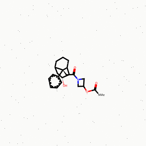 CNC(=O)OC1CN(C(=O)C[C@]2(c3ccccc3)C3CCCC2C[C@@H](O)C3)C1